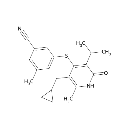 Cc1cc(C#N)cc(Sc2c(CC3CC3)c(C)[nH]c(=O)c2C(C)C)c1